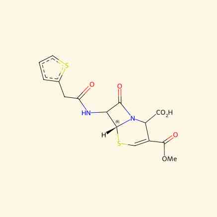 COC(=O)C1=CS[C@@H]2C(NC(=O)Cc3cccs3)C(=O)N2C1C(=O)O